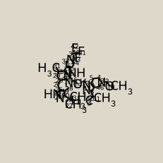 COCN1CCc2c(c(C(C)C)nn2COCN2Cc3c(C(C)C)n[nH]c3CC(CC(C)c3n[nH]c4c3CN(CC(F)(F)F)C4)C2)C1